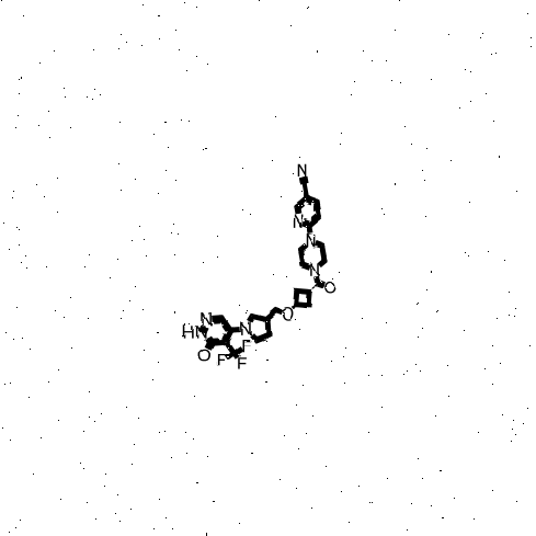 N#Cc1ccc(N2CCN(C(=O)[C@H]3C[C@H](OCC4CCN(c5cn[nH]c(=O)c5C(F)(F)F)C4)C3)CC2)nc1